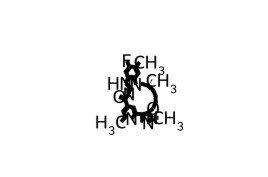 Cc1cc2cc(n1)-c1cnn(C)c1OCCC[C@@H](C)CN1/C(=N/C2=O)Nc2cc(F)c(C)cc21